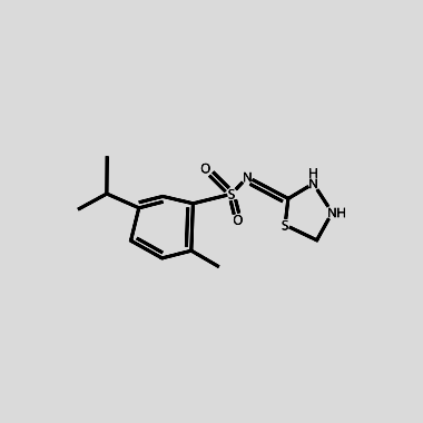 Cc1ccc(C(C)C)cc1S(=O)(=O)N=C1NNCS1